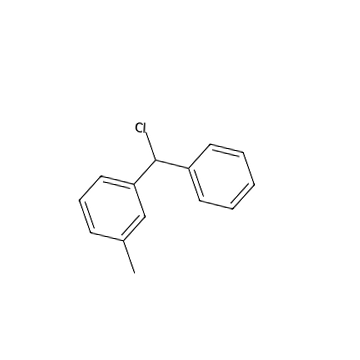 Cc1cccc(C(Cl)c2ccccc2)c1